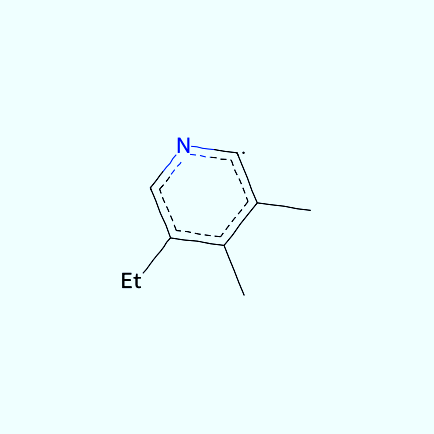 CCc1cn[c]c(C)c1C